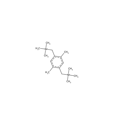 Cc1cc(C[N+](C)(C)C)c(C)cc1C[N+](C)(C)C